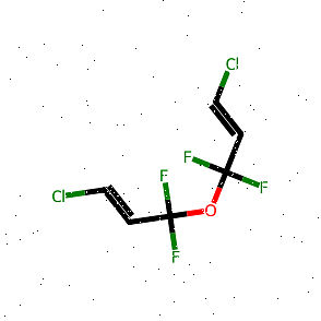 FC(F)(C=CCl)OC(F)(F)C=CCl